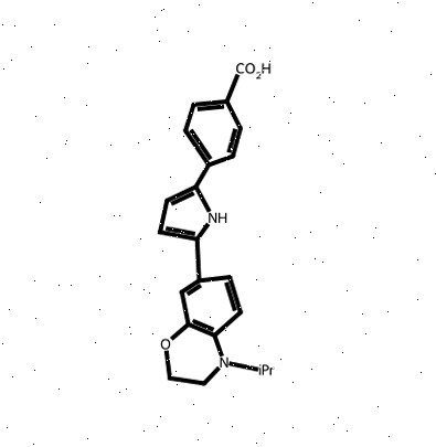 CC(C)N1CCOc2cc(-c3ccc(-c4ccc(C(=O)O)cc4)[nH]3)ccc21